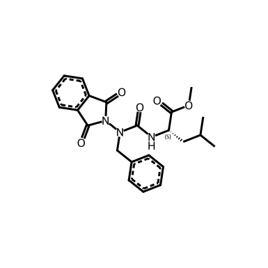 COC(=O)[C@H](CC(C)C)NC(=O)N(Cc1ccccc1)N1C(=O)c2ccccc2C1=O